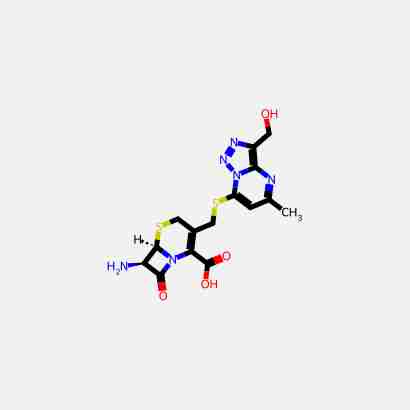 Cc1cc(SCC2=C(C(=O)O)N3C(=O)[C@@H](N)[C@H]3SC2)n2nnc(CO)c2n1